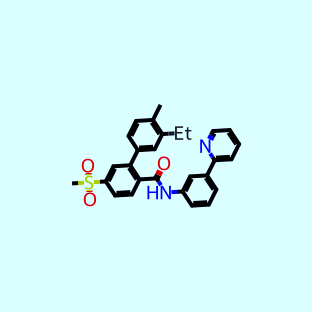 CCc1cc(-c2cc(S(C)(=O)=O)ccc2C(=O)Nc2cccc(-c3ccccn3)c2)ccc1C